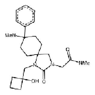 CNC(=O)CN1CC2(CCC(NC)(c3ccccc3)CC2)N(CC2(O)CCC2)C1=O